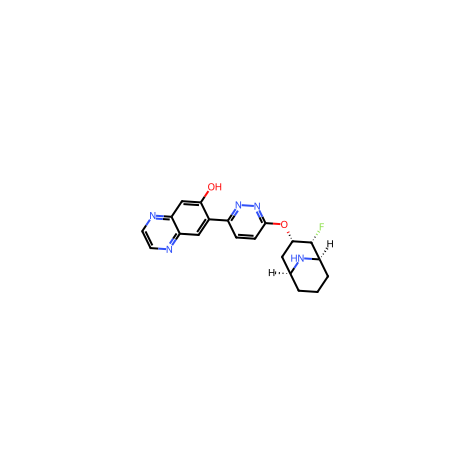 Oc1cc2nccnc2cc1-c1ccc(O[C@H]2C[C@@H]3CCC[C@@H](N3)[C@H]2F)nn1